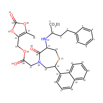 CCOC(=O)C(CCc1ccccc1)NC1CSC(c2cccc3ccccc23)CN(CC(=O)OCc2oc(=O)oc2C)C1=O